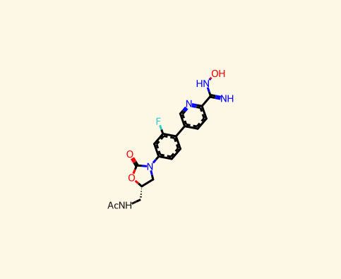 CC(=O)NC[C@H]1CN(c2ccc(-c3ccc(C(=N)NO)nc3)c(F)c2)C(=O)O1